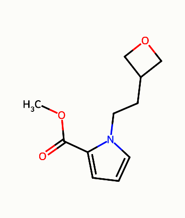 COC(=O)c1cccn1CCC1COC1